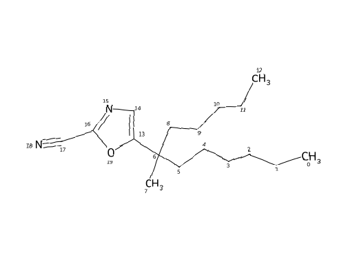 CCCCCCC(C)(CCCCC)c1cnc(C#N)o1